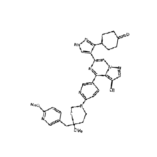 COc1ccc(CC2(OC)CCN(c3ccc(-c4nc(-c5c[nH]nc5C5CCC(=O)CC5)cn5ncc(C#N)c45)cn3)CC2)cn1